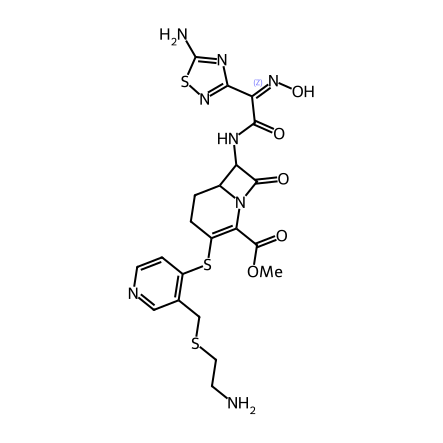 COC(=O)C1=C(Sc2ccncc2CSCCN)CCC2C(NC(=O)/C(=N\O)c3nsc(N)n3)C(=O)N12